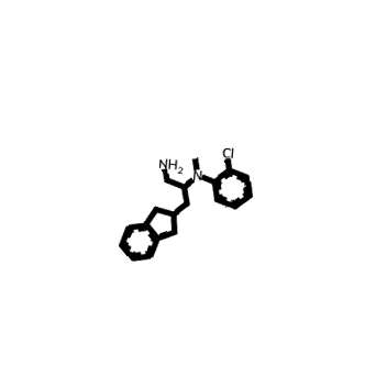 CN(c1ccccc1Cl)C(CN)CC1Cc2ccccc2C1